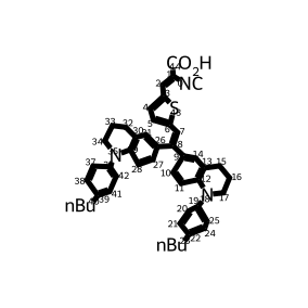 [C-]#[N+]/C(=C\c1ccc(C=C(c2ccc3c(c2)CCCN3c2ccc(CCCC)cc2)c2ccc3c(c2)CCCN3c2ccc(CCCC)cc2)s1)C(=O)O